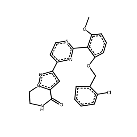 COc1cccc(OCc2ccccc2Cl)c1-c1nccc(-c2cc3n(n2)CCNC3=O)n1